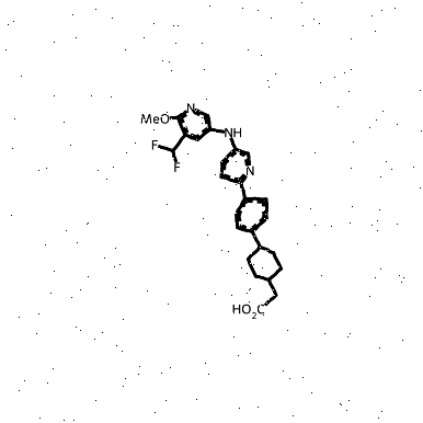 COc1ncc(Nc2ccc(-c3ccc(C4CCC(CC(=O)O)CC4)cc3)nc2)cc1C(F)F